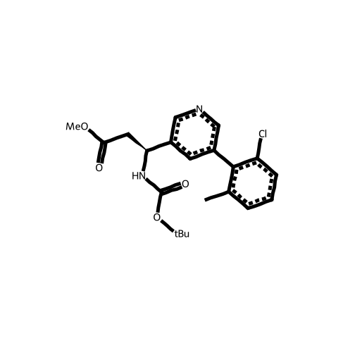 COC(=O)C[C@H](NC(=O)OC(C)(C)C)c1cncc(-c2c(C)cccc2Cl)c1